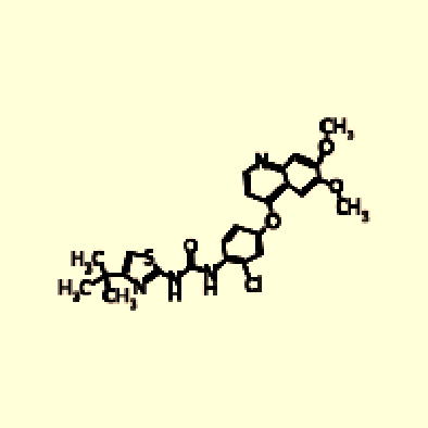 COc1cc2nccc(Oc3ccc(NC(=O)Nc4nc(C(C)(C)C)cs4)c(Cl)c3)c2cc1OC